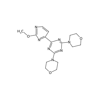 COc1nccc(-c2nc(N3CCOCC3)nc(N3CCOCC3)n2)n1